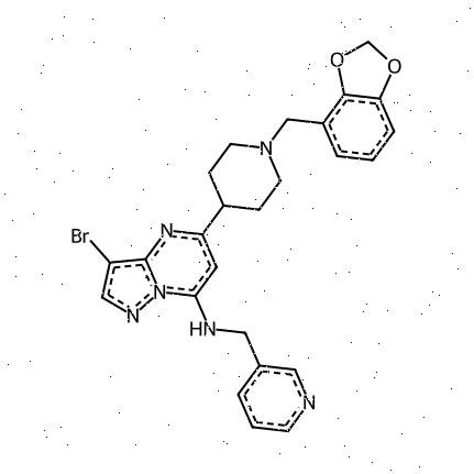 Brc1cnn2c(NCc3cccnc3)cc(C3CCN(Cc4cccc5c4OCO5)CC3)nc12